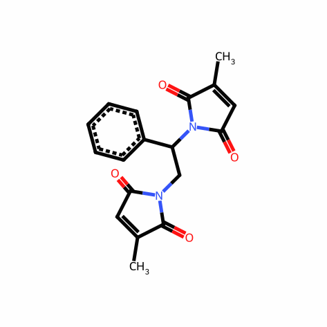 CC1=CC(=O)N(CC(c2ccccc2)N2C(=O)C=C(C)C2=O)C1=O